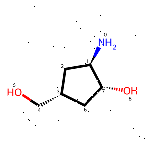 N[C@@H]1C[C@@H](CO)C[C@H]1O